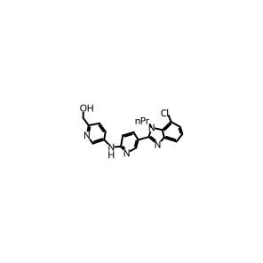 CCCn1c(-c2ccc(Nc3ccc(CO)nc3)nc2)nc2cccc(Cl)c21